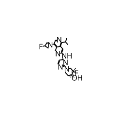 CC(C)c1ncc(N2CC(F)C2)c2cnc(Nc3ccnc(N4CC[C@@H](O)[C@@](C)(F)C4)n3)cc12